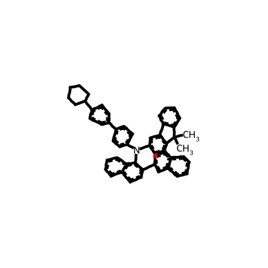 CC1(C)c2ccccc2-c2cc(N(c3ccc(-c4ccc(C5CCCCC5)cc4)cc3)c3c(-c4ccc5ccccc5c4)ccc4ccccc34)ccc21